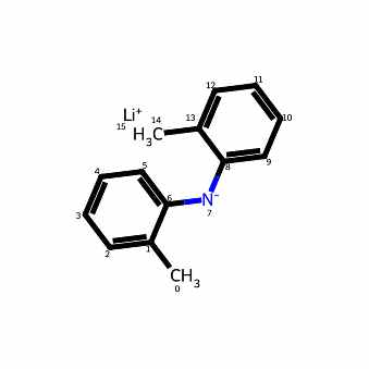 Cc1ccccc1[N-]c1ccccc1C.[Li+]